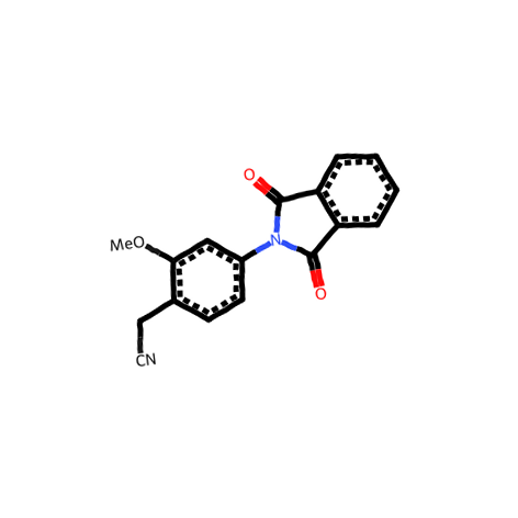 COc1cc(N2C(=O)c3ccccc3C2=O)ccc1CC#N